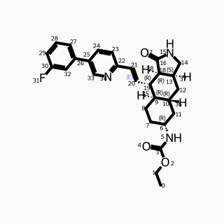 CCOC(=O)N[C@@H]1CC[C@@H]2[C@@H](C1)C[C@@H]1CNC(=O)[C@@H]1[C@H]2/C=C/c1ccc(-c2cccc(F)c2)cn1